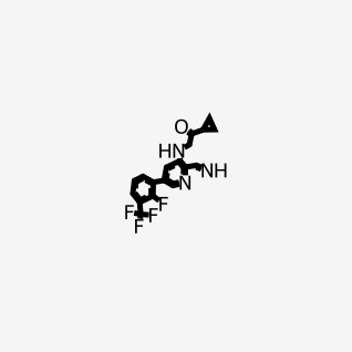 N=Cc1ncc(-c2cccc(C(F)(F)F)c2F)cc1NCC(=O)C1CC1